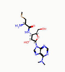 CSC[C@H](N)C(=O)N[C@H]1[C@@H](O)[C@H](n2cnc3c(N(C)C)ncnc32)O[C@@H]1CO